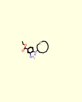 CCOC(=O)c1ccc(NC2CCCCCCCCCCC2)c(N)c1